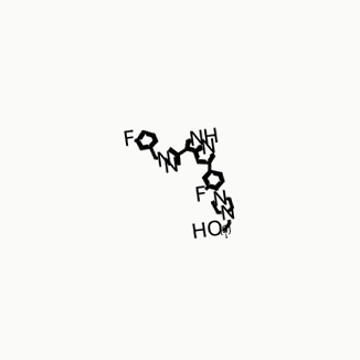 C[C@H](O)CN1CCN(c2ccc(-c3cnc4[nH]cc(-c5cnn(Cc6cccc(F)c6)c5)c4c3)cc2F)CC1